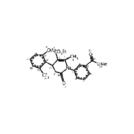 CCOC(=O)C1=C(C)N(c2cccc(C(=O)OC)c2)C(=O)CC1c1c(OC(C)=O)cccc1C(F)(F)F